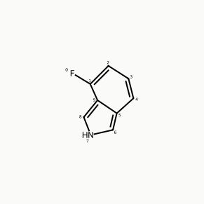 Fc1cccc2c[nH]cc12